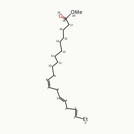 CCC=CCC=CC/C=C\CCCCCCCCCC(=O)OC